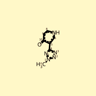 Cn1nnc(-c2c[nH]ccc2=O)n1